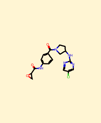 O=C(Nc1ccc(C(=O)N2CCC(Nc3ncc(Cl)cn3)C2)cc1)C1CO1